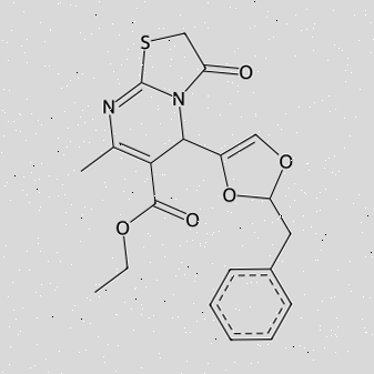 CCOC(=O)C1=C(C)N=C2SCC(=O)N2C1C1=COC(Cc2ccccc2)O1